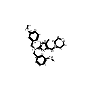 COc1cccc(CN(Cc2cccc(OC)c2)c2nc(C)c(CN3CCOCC3)s2)c1